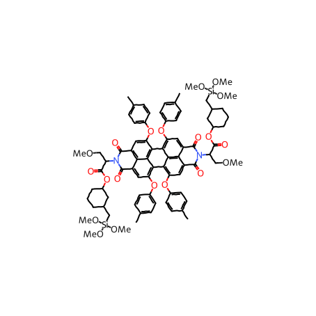 COCC(C(=O)OC1CCCC(C[Si](OC)(OC)OC)C1)N1C(=O)c2cc(Oc3ccc(C)cc3)c3c4c(Oc5ccc(C)cc5)cc5c6c(cc(Oc7ccc(C)cc7)c(c7c(Oc8ccc(C)cc8)cc(c2c37)C1=O)c64)C(=O)N(C(COC)C(=O)OC1CCCC(C[Si](OC)(OC)OC)C1)C5=O